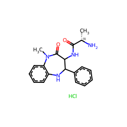 C[C@H](N)C(=O)NC1C(=O)N(C)c2ccccc2NC1c1ccccc1.Cl